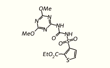 CCOC(=O)c1sccc1S(=O)(=O)NC(=O)Nc1nc(OC)nc(OC)n1